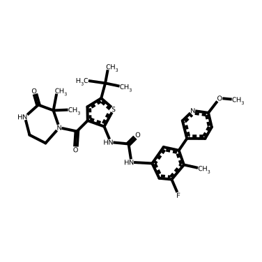 COc1ccc(-c2cc(NC(=O)Nc3sc(C(C)(C)C)cc3C(=O)N3CCNC(=O)C3(C)C)cc(F)c2C)cn1